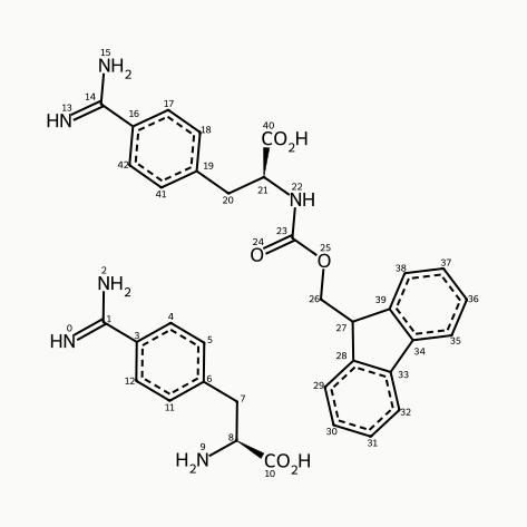 N=C(N)c1ccc(C[C@H](N)C(=O)O)cc1.N=C(N)c1ccc(C[C@H](NC(=O)OCC2c3ccccc3-c3ccccc32)C(=O)O)cc1